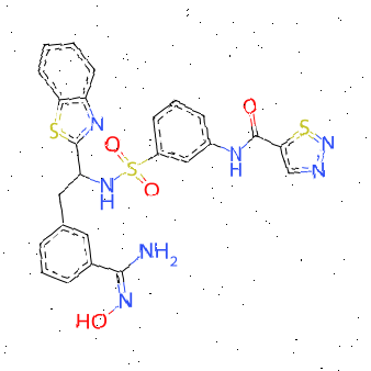 N/C(=N/O)c1cccc(CC(NS(=O)(=O)c2cccc(NC(=O)c3cnns3)c2)c2nc3ccccc3s2)c1